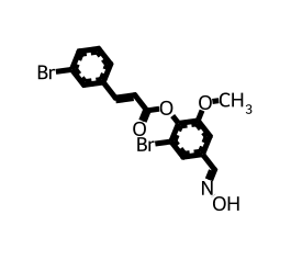 COc1cc(/C=N/O)cc(Br)c1OC(=O)/C=C/c1cccc(Br)c1